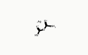 NC(=O)OC(=S)S.[Ag]